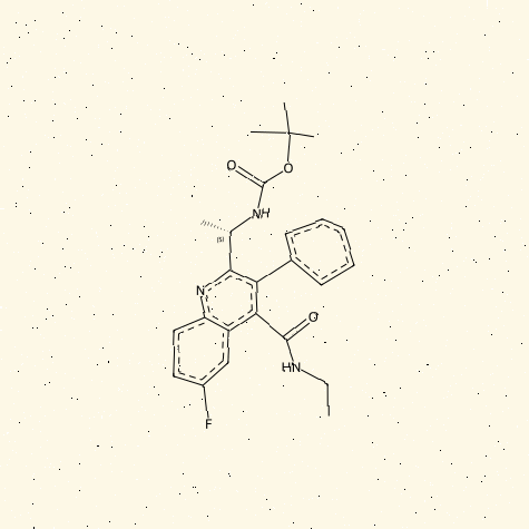 CCNC(=O)c1c(-c2ccccc2)c([C@H](C)NC(=O)OC(C)(C)C)nc2ccc(F)cc12